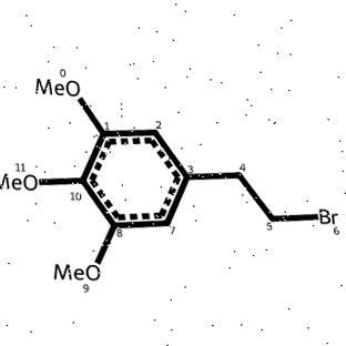 COc1cc(CCBr)cc(OC)c1OC